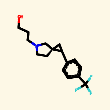 OCCCN1CC[C@]2(CC2c2ccc(C(F)(F)F)cc2)C1